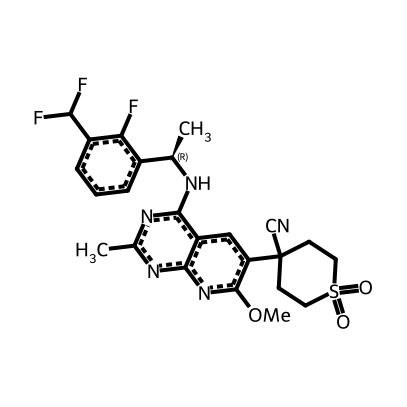 COc1nc2nc(C)nc(N[C@H](C)c3cccc(C(F)F)c3F)c2cc1C1(C#N)CCS(=O)(=O)CC1